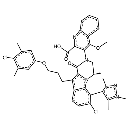 COc1c(N2C[C@@H](C)n3c(c(CCCOc4cc(C)c(Cl)c(C)c4)c4ccc(Cl)c(-c5c(C)nn(C)c5C)c43)C2=O)c(C(=O)O)nc2ccccc12